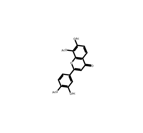 CC(=O)Oc1ccc(-c2cc(=O)c3ccc(OC(C)=O)c(OC(C)=O)c3o2)cc1OC(C)=O